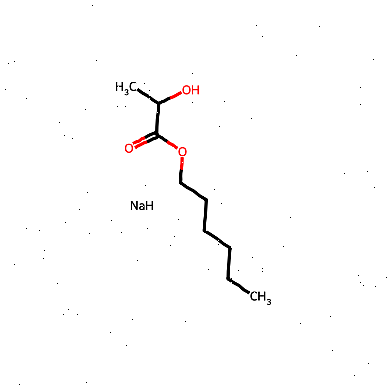 CCCCCCOC(=O)C(C)O.[NaH]